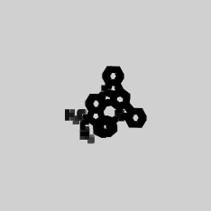 CC1(C)c2ccccc2-c2c1ccc1c2c2c3c(cc4c5ccccc5n1c42)c1ccccc1n3-c1ccccc1